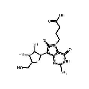 Nc1nc2c(c(=O)[nH]1)n(CCCC(=O)O)c(=O)n2C1OC(CO)C(O)C1O